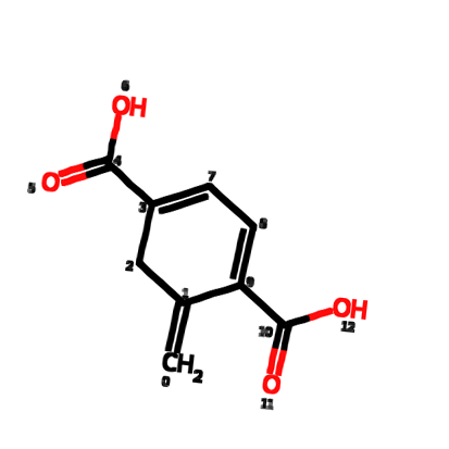 C=C1CC(C(=O)O)=CC=C1C(=O)O